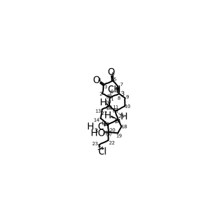 C[C@]12CC(=O)C(=O)C=C1CC[C@@H]1[C@@H]2CC[C@@]2(C)[C@H]1CC[C@]2(O)CCCl